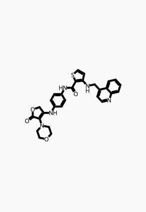 O=C1OCC(Nc2ccc(NC(=O)c3sccc3NCc3ccnc4ccccc34)cc2)=C1N1CCOCC1